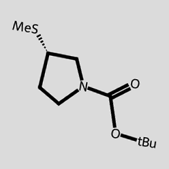 CS[C@H]1CCN(C(=O)OC(C)(C)C)C1